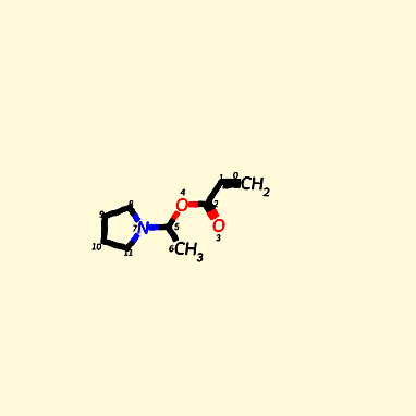 C=CC(=O)OC(C)N1CCCC1